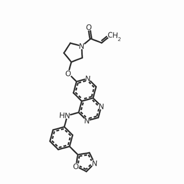 C=CC(=O)N1CCC(Oc2cc3c(Nc4cccc(-c5cnco5)c4)ncnc3cn2)C1